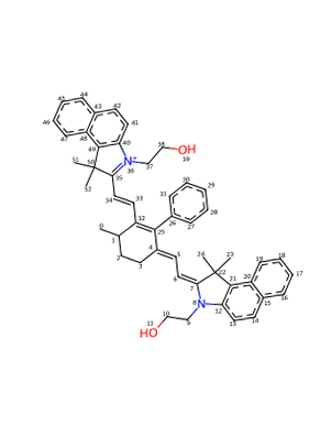 CC1CC/C(=C\C=C2\N(CCO)c3ccc4ccccc4c3C2(C)C)C(c2ccccc2)=C1/C=C/C1=[N+](CCO)c2ccc3ccccc3c2C1(C)C